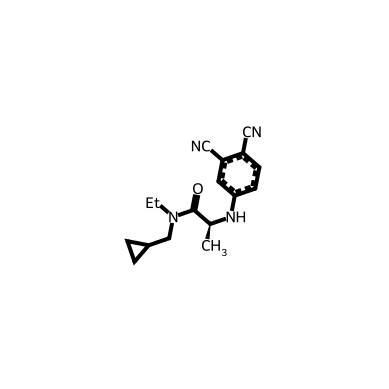 CCN(CC1CC1)C(=O)[C@H](C)Nc1ccc(C#N)c(C#N)c1